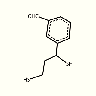 O=Cc1cccc(C(S)CCS)c1